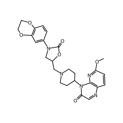 COc1ccc2ncc(=O)n(C3CCN(CC4CN(c5ccc6c(c5)OCCO6)C(=O)O4)CC3)c2n1